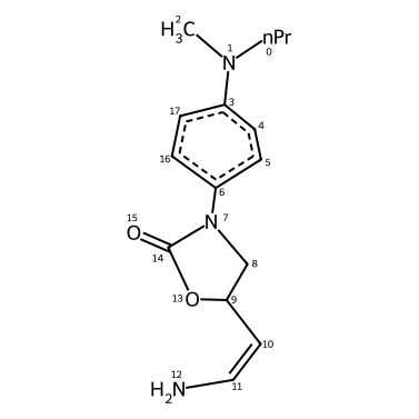 CCCN(C)c1ccc(N2CC(/C=C\N)OC2=O)cc1